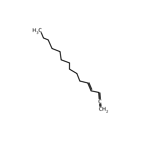 C=C=CC=CCCCCCCCCCC